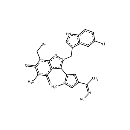 C/C(=N/C#N)c1cc(-c2c3c(=O)n(C)c(=O)n(CC(C)C)c3nn2Cc2c[nH]c3ccc(Cl)cc23)n(C)c1